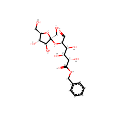 O=C[C@H](O[C@]1(CO)O[C@H](CO)[C@@H](O)[C@@H]1O)[C@@H](O)[C@H](O)[C@H](O)C(=O)OCc1ccccc1